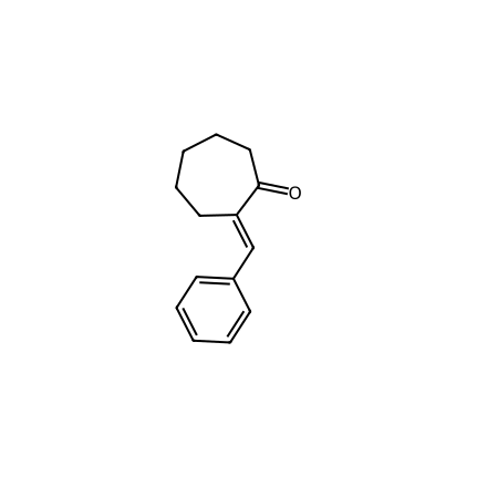 O=C1CCCCC/C1=C\c1ccccc1